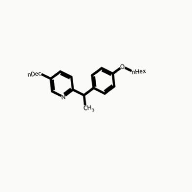 CCCCCCCCCCc1ccc(C(C)c2ccc(OCCCCCC)cc2)nc1